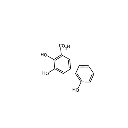 O=C(O)c1cccc(O)c1O.Oc1ccccc1